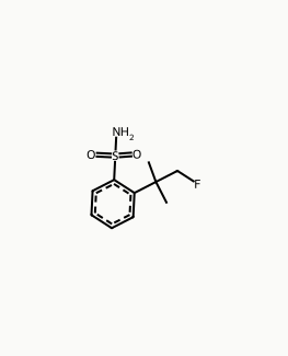 CC(C)(CF)c1ccccc1S(N)(=O)=O